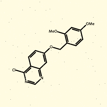 COc1ccc(COc2ccc3c(Cl)ncnc3c2)c(OC)c1